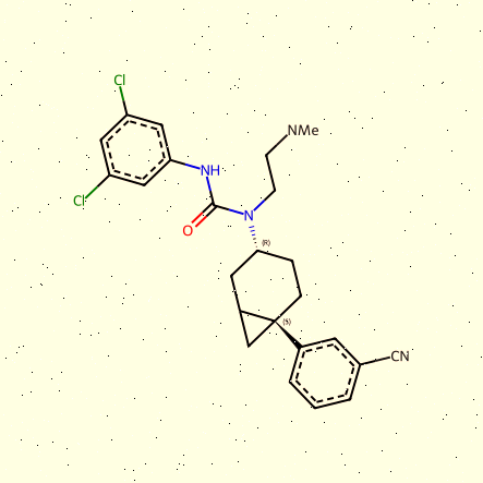 CNCCN(C(=O)Nc1cc(Cl)cc(Cl)c1)[C@@H]1CC[C@]2(c3cccc(C#N)c3)CC2C1